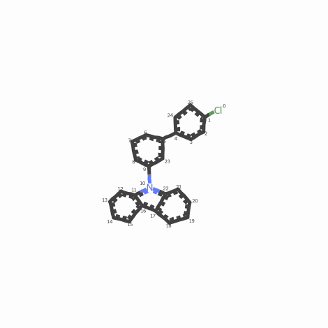 Clc1ccc(-c2cccc(-n3c4ccccc4c4ccccc43)c2)cc1